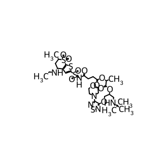 CCN[C@@H]1C[C@@H](C)S(=O)(=O)c2sc(S(=O)(=O)NC(=O)CCC(=O)OC(C)C(=O)OC(CNC(C)(C)C)COc3nsnc3N3CCOCC3)cc21